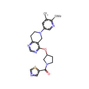 COc1ncc(N2CCc3ncnc(OC4CCN(C(=O)c5cncs5)C4)c3C2)cc1C(F)(F)F